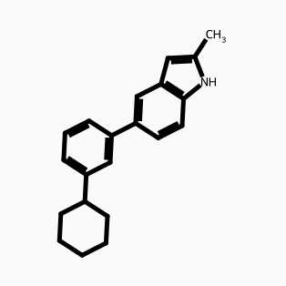 Cc1cc2cc(-c3cccc(C4CCCCC4)c3)ccc2[nH]1